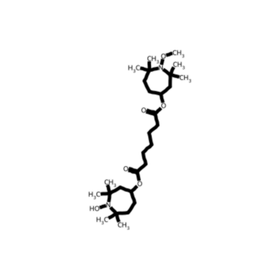 CON1C(C)(C)CCC(OC(=O)CCCCCC(=O)OC2CCC(C)(C)N(O)C(C)(C)C2)CC1(C)C